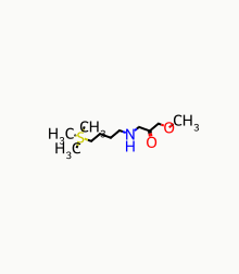 COCC(=O)CNCCCCS(C)(C)C